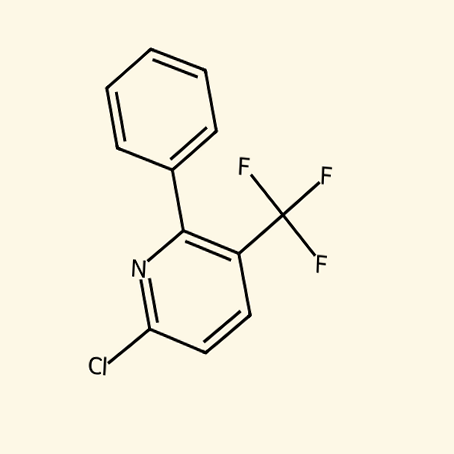 FC(F)(F)c1ccc(Cl)nc1-c1ccccc1